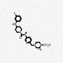 C[C@H]1CN(Cc2ccc(N(C)C(=O)N3CCC(Nc4cccc(F)c4)CC3)cn2)CCN1C(=O)O